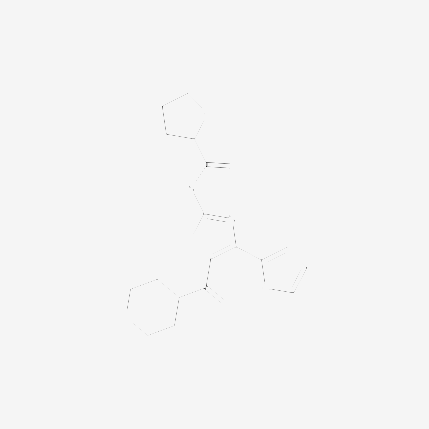 O=C(c1sc(NC(=O)C2CCCO2)nc1-c1ccco1)C1CCOCC1